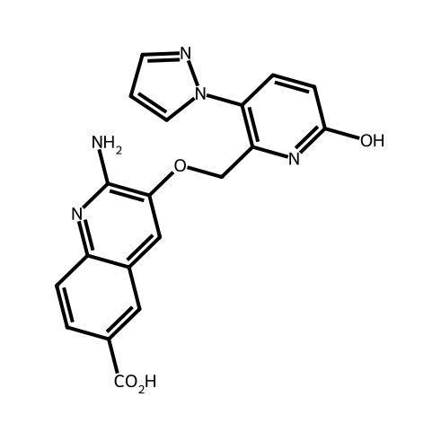 Nc1nc2ccc(C(=O)O)cc2cc1OCc1nc(O)ccc1-n1cccn1